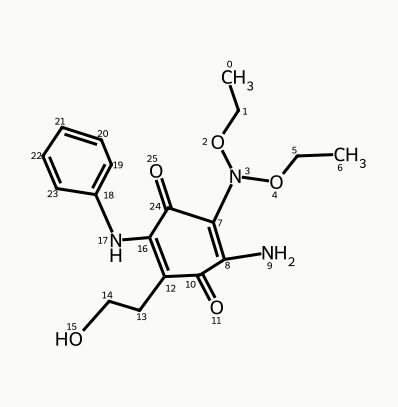 CCON(OCC)C1=C(N)C(=O)C(CCO)=C(Nc2ccccc2)C1=O